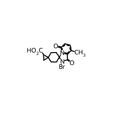 Cc1ccc(=O)n2c1C(=O)N(Br)C21CCC2(CC1)CC2C(=O)O